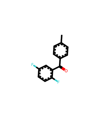 Cc1ccc(C(=O)c2cc(F)ccc2F)cc1